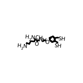 CC(N)(CCCCN)C(=O)NCCOc1ccc(CS)c(CS)c1